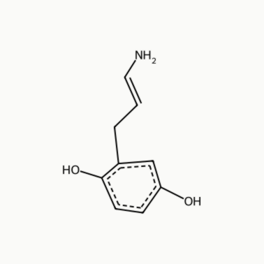 NC=CCc1cc(O)ccc1O